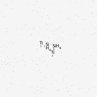 [SiH4].[SiH4].[Ti].[Ti]